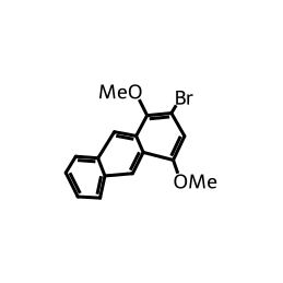 COc1cc(Br)c(OC)c2cc3ccccc3cc12